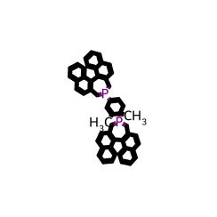 CC1=CC(P2Cc3ccc4ccccc4c3-c3c(ccc4ccccc34)C2)=CCC1(C)P1Cc2ccc3ccccc3c2-c2c(ccc3ccccc23)C1